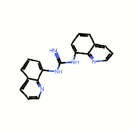 N=C(Nc1cccc2cccnc12)Nc1cccc2cccnc12